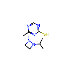 CC(C)N1CCN1.Cc1ncnc(S)n1